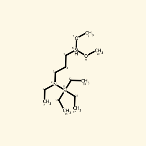 CCN(CCC[SiH](OC)OC)[Si](CC)(CC)CC